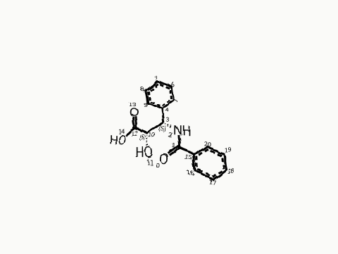 O=C(N[C@@H](c1ccccc1)[C@H](O)C(=O)O)c1ccccc1